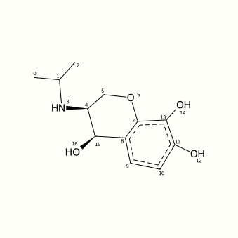 CC(C)N[C@H]1COc2c(ccc(O)c2O)[C@H]1O